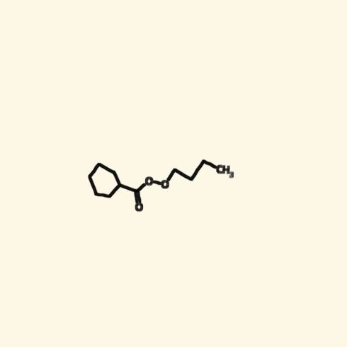 CCCCOOC(=O)C1CCCCC1